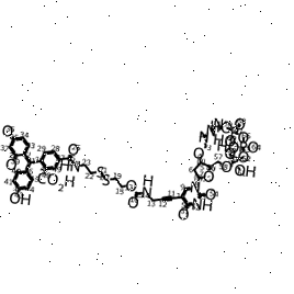 [N-]=[N+]=NCO[C@@H]1C[C@H](n2cc(C#CCNC(=O)OCCSSCCNC(=O)c3ccc(-c4c5ccc(=O)cc-5oc5cc(O)ccc45)c(C(=O)O)c3)c(=O)[nH]c2=O)O[C@@H]1COP(=O)(O)OP(=O)(O)OP(=O)(O)O